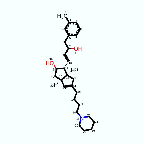 Cc1cccc(C[C@@H](O)/C=C/[C@@H]2[C@H]3CC(CCCCN4CCCCC4)=C[C@H]3C[C@H]2O)c1